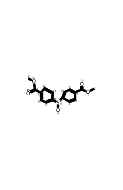 COC(=O)c1ccc([S+]([O-])c2ccc(C(=O)OC)cc2)cc1